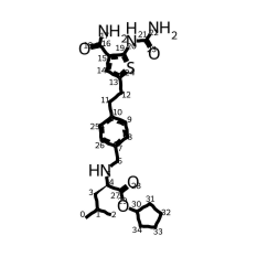 CC(C)C[C@@H](NCc1ccc(CCc2cc(C(N)=O)c(NC(N)=O)s2)cc1)C(=O)OC1CCCC1